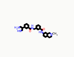 CN1CCc2ccc(NC(=O)c3cccc(CNC(=O)c4cccc(/C(C=N)=C/N)c4)c3)cc2C1